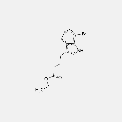 CCOC(=O)CCCc1c[nH]c2c(Br)cccc12